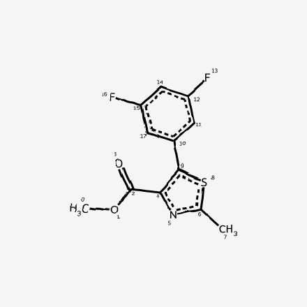 COC(=O)c1nc(C)sc1-c1cc(F)cc(F)c1